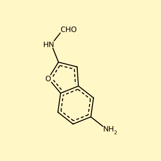 Nc1ccc2oc(NC=O)cc2c1